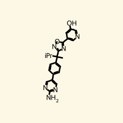 CC(C)C(C)(c1ccc(-c2cnc(N)nc2)cc1)c1noc(-c2cncc(O)c2)n1